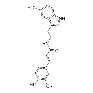 Cc1ccc2[nH]cc(CCNC(=O)/C=C/c3ccc(O)c(O)c3)c2c1